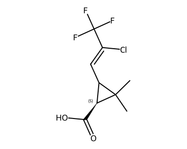 CC1(C)C(C=C(Cl)C(F)(F)F)[C@@H]1C(=O)O